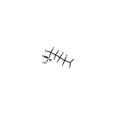 CC(F)C(F)(F)C(F)(F)C(F)(F)C(F)(F)S(=O)(=O)O